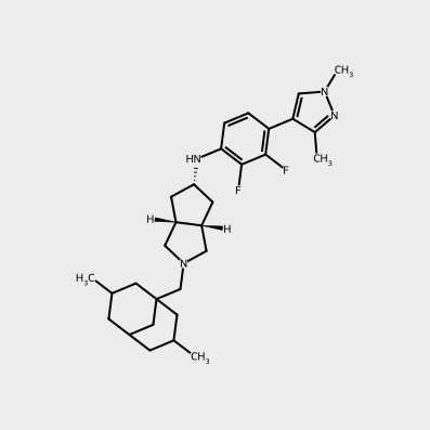 Cc1nn(C)cc1-c1ccc(N[C@@H]2C[C@@H]3CN(CC45CC(C)CC(CC(C)C4)C5)C[C@@H]3C2)c(F)c1F